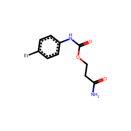 CCc1ccc(NC(=O)OCCC(N)=O)cc1